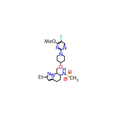 CCc1cc2n(n1)C(COC1CCN(c3ncc(F)c(OC)n3)CC1)C(NS(C)(=O)=O)CC2